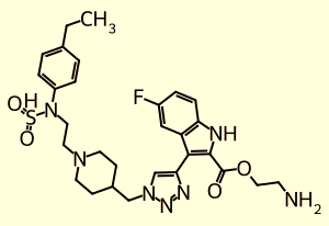 CCc1ccc(N(CCN2CCC(Cn3cc(-c4c(C(=O)OCCN)[nH]c5ccc(F)cc45)nn3)CC2)[SH](=O)=O)cc1